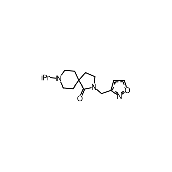 CC(C)N1CCC2(CCN(Cc3ccon3)C2=O)CC1